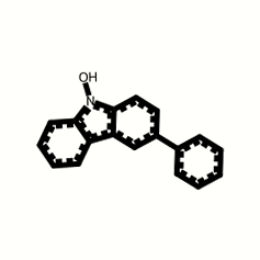 On1c2ccccc2c2cc(-c3ccccc3)ccc21